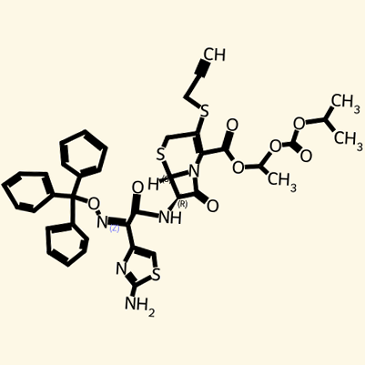 C#CCSC1=C(C(=O)OC(C)OC(=O)OC(C)C)N2C(=O)[C@@H](NC(=O)/C(=N\OC(c3ccccc3)(c3ccccc3)c3ccccc3)c3csc(N)n3)[C@@H]2SC1